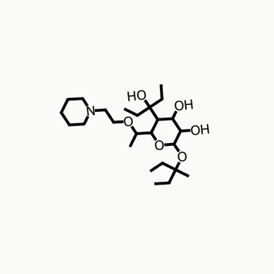 CCC(C)(CC)OC1OC(C(C)OCCN2CCCCC2)C(C(O)(CC)CC)C(O)C1O